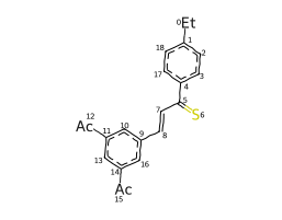 CCc1ccc(C(=S)C=Cc2cc(C(C)=O)cc(C(C)=O)c2)cc1